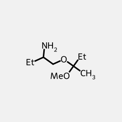 CCC(N)COC(C)(CC)OC